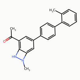 CC(=O)c1cc(-c2ccc(-c3ccccc3C)cc2)cc2c1[nH]n2C